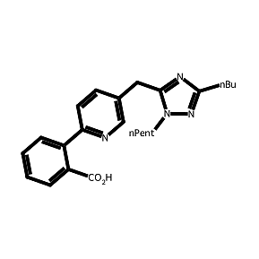 CCCCCn1nc(CCCC)nc1Cc1ccc(-c2ccccc2C(=O)O)nc1